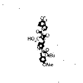 COc1ccc(CN(C(=O)OC(C)(C)C)c2cc(C[C@H]3C(=O)N(C(=O)N4CCc5cc(C(F)(F)F)ccc54)[C@@H]3C(=O)O)ccn2)cc1